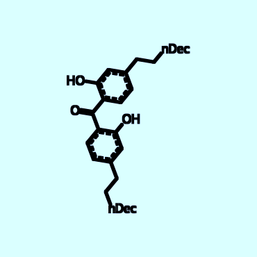 CCCCCCCCCCCCc1ccc(C(=O)c2ccc(CCCCCCCCCCCC)cc2O)c(O)c1